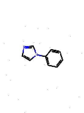 [c]1cn(-c2ccccc2)cn1